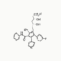 CC(C)c1c(C(=O)Nc2ccccc2)c(-c2ccncc2)c(-c2ccc(F)cc2)n1CC[C@@H](O)C[C@@H](O)CC(=O)O